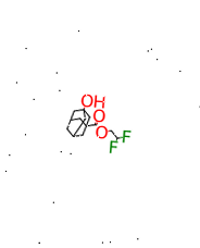 O=C(OCC(F)F)C12CC3CC(CC(O)(C3)C1)C2